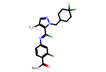 COC(=O)c1ccc(N=C(Cl)c2c(C(F)(F)F)cnn2CC2CCC(F)(F)CC2)cc1F